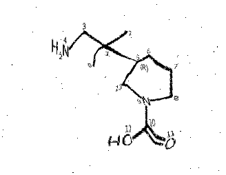 CC(C)(CN)[C@H]1CCCN(C(=O)O)C1